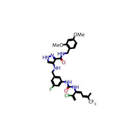 C=C(Cl)/C(=C\C=C(/C)C(F)(F)F)NC(=O)Nc1cc(F)cc(CNc2c[nH]nc2C(=O)NCc2ccc(OC)cc2OC)c1